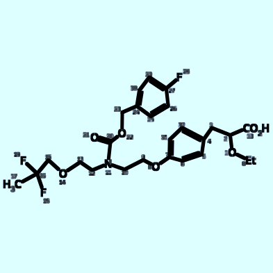 CCOC(Cc1ccc(OCCN(CCOCC(C)(F)F)C(=O)OCc2ccc(F)cc2)cc1)C(=O)O